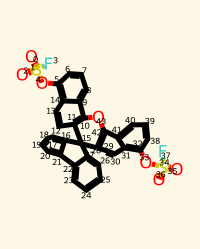 O=S(=O)(F)Oc1cccc2c3c(ccc12)C1(c2ccccc2-c2ccccc21)c1ccc2c(OS(=O)(=O)F)cccc2c1O3